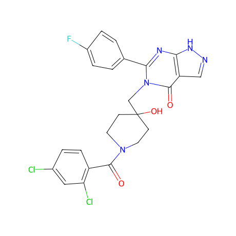 O=C(c1ccc(Cl)cc1Cl)N1CCC(O)(Cn2c(-c3ccc(F)cc3)nc3[nH]ncc3c2=O)CC1